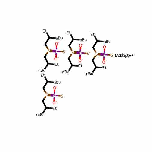 CCCCC(CC)CS(CC(CC)CCCC)=P([O-])([O-])[S-].CCCCC(CC)CS(CC(CC)CCCC)=P([O-])([O-])[S-].CCCCC(CC)CS(CC(CC)CCCC)=P([O-])([O-])[S-].CCCCC(CC)CS(CC(CC)CCCC)=P([O-])([O-])[S-].[Mo+4].[Mo+4].[Mo+4]